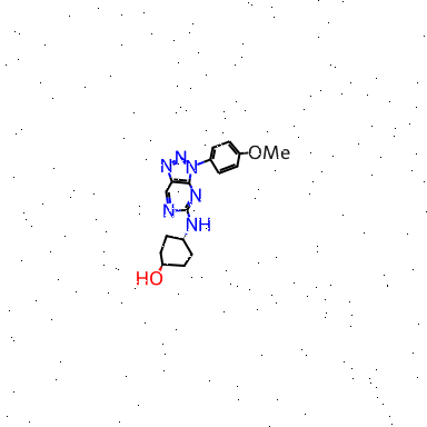 COc1ccc(-n2nnc3cnc(N[C@H]4CC[C@H](O)CC4)nc32)cc1